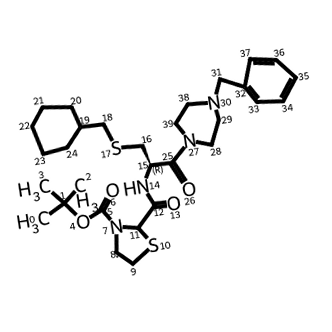 CC(C)(C)OC(=O)N1[CH]CSC1C(=O)N[C@@H](CSCC1CCCCC1)C(=O)N1CCN(Cc2ccccc2)CC1